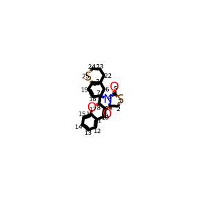 O=C1CSC(=O)N1C1(C2C=Cc3ccccc3O2)C=CC2=C(CCCS2)C1